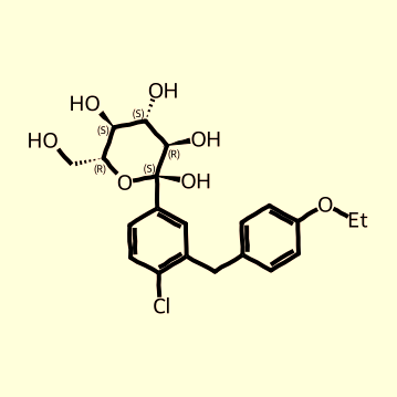 CCOc1ccc(Cc2cc([C@]3(O)O[C@H](CO)[C@@H](O)[C@H](O)[C@H]3O)ccc2Cl)cc1